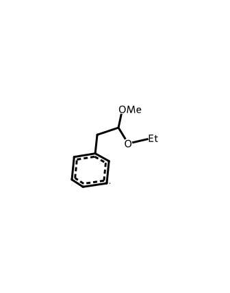 CCOC(Cc1c[c]ccc1)OC